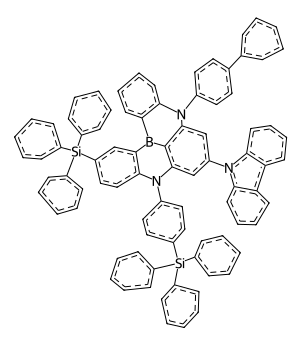 c1ccc(-c2ccc(N3c4ccccc4B4c5cc([Si](c6ccccc6)(c6ccccc6)c6ccccc6)ccc5N(c5ccc([Si](c6ccccc6)(c6ccccc6)c6ccccc6)cc5)c5cc(-n6c7ccccc7c7ccccc76)cc3c54)cc2)cc1